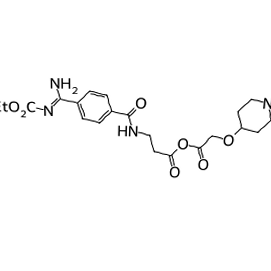 CCOC(=O)N=C(N)c1ccc(C(=O)NCCC(=O)OC(=O)COC2CCNCC2)cc1